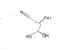 N#CC(O)C(O)O